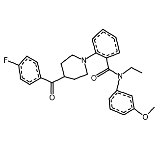 CCN(C(=O)c1ccccc1N1CCC(C(=O)c2ccc(F)cc2)CC1)c1cccc(OC)c1